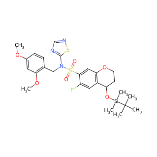 COc1ccc(CN(c2ncns2)S(=O)(=O)c2cc3c(cc2F)C(O[Si](C)(C)C(C)(C)C)CCO3)c(OC)c1